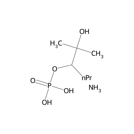 CCCC(OP(=O)(O)O)C(C)(C)O.N